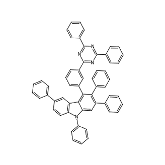 c1ccc(-c2ccc3c(c2)c2c(-c4cccc(-c5nc(-c6ccccc6)nc(-c6ccccc6)n5)c4)c(-c4ccccc4)c(-c4ccccc4)cc2n3-c2ccccc2)cc1